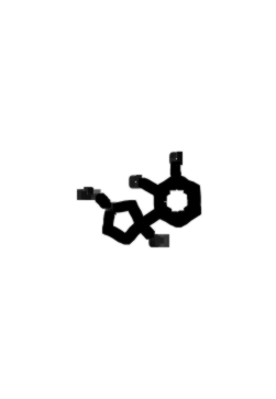 CCCCN1CCC(O)(c2cccc(Cl)c2Cl)C1